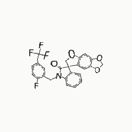 O=C1N(Cc2cc(C(F)(F)F)ccc2F)c2ccccc2C12COc1cc3c(cc12)OCO3